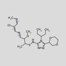 CCC(CC)n1c(NSC(C)C(/C=N/C=C(Cl)\C=N/C)OC)nnc1C1COCCO1